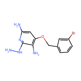 NNc1nc(N)cc(OCc2cccc(Br)c2)c1N